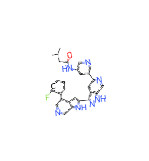 CC(C)CC(=O)Nc1cncc(-c2cc3c(-c4cc5c(-c6ccccc6F)cncc5[nH]4)n[nH]c3cn2)c1